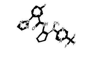 CN(c1cnc(C(F)(F)F)cn1)[C@H]1CCCC1NC(=O)c1cc(F)ccc1-n1nccn1